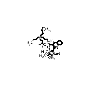 CC(C)C1(C)N=C(c2nc3ccccc3cc2C(=O)[O-])N(C#N)C1=O.CCCC[N+](CCCC)(CCCC)CCCC